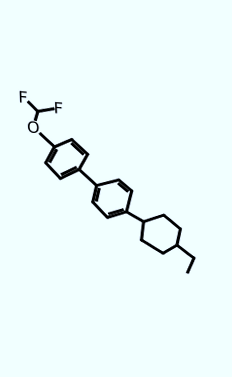 CCC1CCC(c2ccc(-c3ccc(OC(F)F)cc3)cc2)CC1